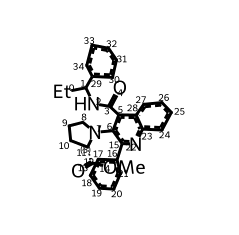 CCC(NC(=O)c1c(N2CCC[C@H]2C(=O)OC)c(-c2ccccc2)nc2ccccc12)c1ccccc1